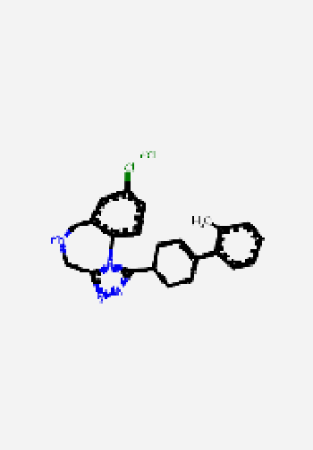 Cc1ccccc1C1=CCC(c2nnc3n2-c2ccc(Cl)cc2CNC3)CC1.Cl